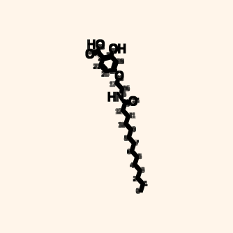 CCCCCCCCCCCCCC(=O)NCCOc1ccc(C(=O)O)c(O)c1